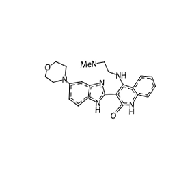 CNCCNc1c(-c2nc3cc(N4CCOCC4)ccc3[nH]2)c(=O)[nH]c2ccccc12